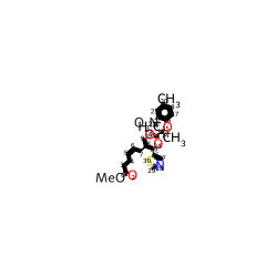 COC(=O)CC/C=C\C[C@H]1CO[C@H](C(C)(C)Oc2ccc(C)cc2[N+](=O)[O-])O[C@@H]1c1cncs1